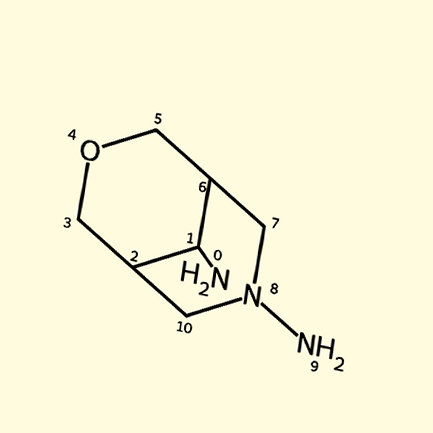 NC1C2COCC1CN(N)C2